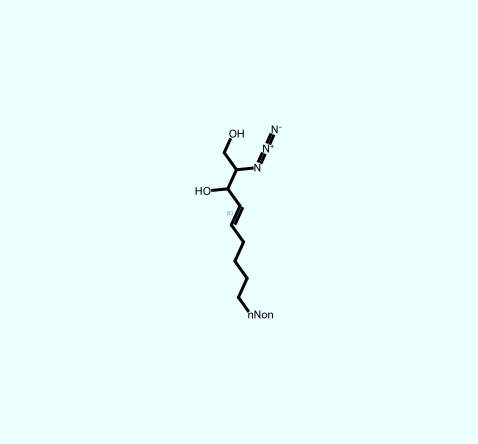 CCCCCCCCCCCCC/C=C/C(O)C(CO)N=[N+]=[N-]